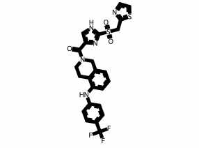 O=C(c1c[nH]c(S(=O)(=O)Cc2nccs2)n1)N1CCc2c(cccc2Nc2ccc(C(F)(F)F)cc2)C1